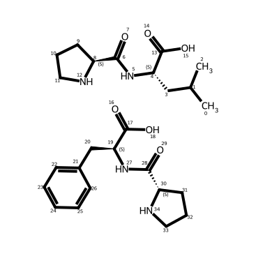 CC(C)C[C@H](NC(=O)[C@@H]1CCCN1)C(=O)O.O=C(O)[C@H](Cc1ccccc1)NC(=O)[C@@H]1CCCN1